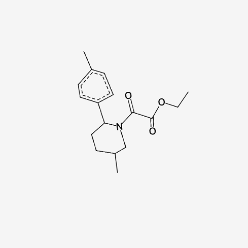 CCOC(=O)C(=O)N1CC(C)CCC1c1ccc(C)cc1